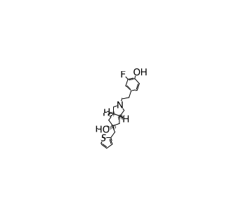 Oc1ccc(CCN2C[C@@H]3C[C@@](O)(Cc4cccs4)C[C@@H]3C2)cc1F